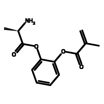 C=C(C)C(=O)Oc1ccccc1OC(=O)[C@H](C)N